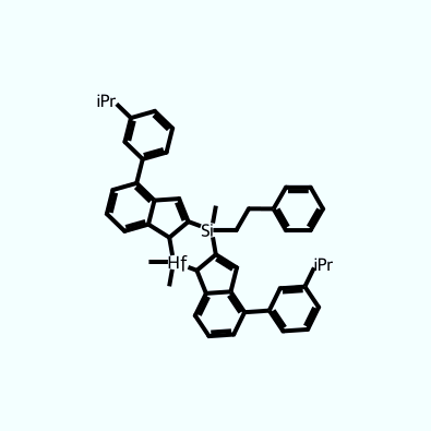 CC(C)c1cccc(-c2cccc3c2C=C2[CH]3[Hf]([CH3])([CH3])[CH]3C(=Cc4c(-c5cccc(C(C)C)c5)cccc43)[Si]2(C)CCc2ccccc2)c1